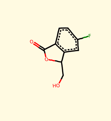 O=C1OC(CO)c2cc(F)ccc21